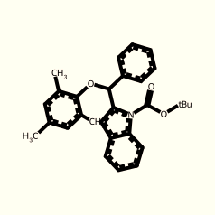 Cc1cc(C)c(OC(c2ccccc2)c2cc3ccccc3n2C(=O)OC(C)(C)C)c(C)c1